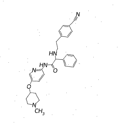 CN1CCC(Oc2ccc(NC(=O)C(NCCc3ccc(C#N)cc3)c3ccccc3)nc2)CC1